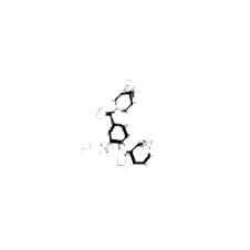 Nc1cc(C(=O)N2CCC(F)(F)CC2)ccc1Nc1cccnc1